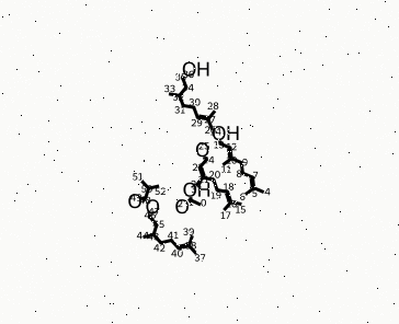 CC(=O)O.CC(C)=CCC/C(C)=C/CO.CC(C)=CCC/C(C)=C\C=O.CC(C)=CCCC(C)CCO.CC(C)=CCCC(C)CCOC(=O)C(C)C